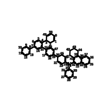 C1=CCC(c2ccc(-c3ccccc3)cc2-c2ccc(C3C=CC(N(c4ccccc4)c4cc5ccccc5c5c4CCCC5)=CC3)cc2)C=C1